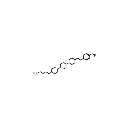 CCCCC[C@H]1CC[C@H]([C@H]2CC[C@H](C3CCC(CCc4ccc(CF)cc4)CC3)CC2)CC1